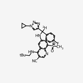 [2H]C(Nc1cc(S(C)(=O)=O)c2ncc(C#N)c(NCC(C)(C)C)c2c1)(c1ccc(F)cc1)c1cn(C2CC2)nn1